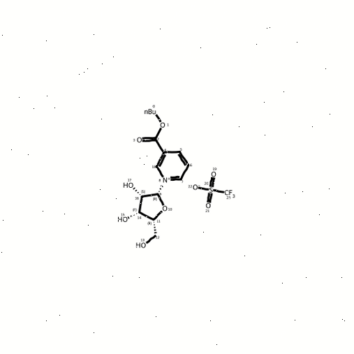 CCCCOC(=O)c1ccc[n+]([C@@H]2O[C@H](CO)[C@H](O)[C@@H]2O)c1.O=S(=O)([O-])C(F)(F)F